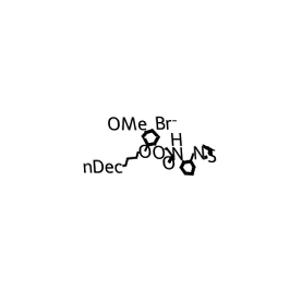 CCCCCCCCCCCCCCOc1cc(OC)ccc1OCC(=O)Nc1ccccc1C[n+]1ccsc1.[Br-]